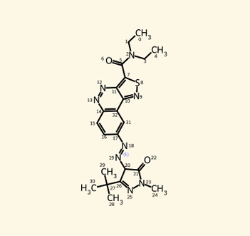 CCN(CC)C(=O)c1snc2c1nnc1ccc(/N=N/C3C(=O)N(C)N=C3C(C)(C)C)cc12